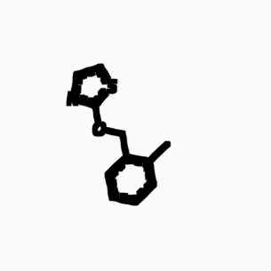 Cc1ccccc1COc1nccs1